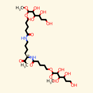 COC(OCCCCC(=O)NCCCC[C@@H](NC(=O)CCCCOC(OC)C(O)C(O)C(O)CCO)C(C)=O)C(O)C(O)C(O)CCO